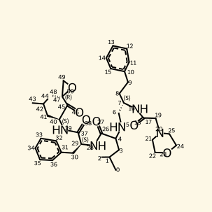 CC(C)CC(NC[C@H](CCc1ccccc1)NC(=O)CN1CCOCC1)C(=O)N[C@@H](Cc1ccccc1)C(=O)N[C@@H](CC(C)C)C(=O)[C@@]1(C)CO1